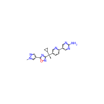 Cn1cc(-c2nc([C@@](C)(c3ccc(-c4cnc(N)nc4)nc3)C3CC3)no2)cn1